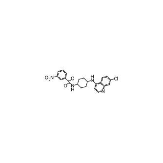 O=[N+]([O-])c1cccc(S(=O)(=O)NC2CCC(Nc3ccnc4cc(Cl)ccc34)CC2)c1